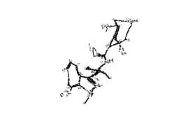 Cn1nc(C(C)(C)NC(=O)[C@H]2[C@@H]3CNC[C@@H]32)c2cccc(C(F)(F)F)c21